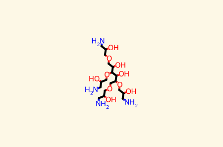 NCC(O)COCC(O)C(OCC(O)CN)C(O)C(COCC(O)CN)OCC(O)CN